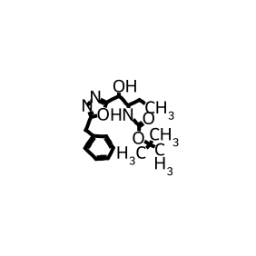 CCC(NC(=O)OC(C)(C)C)C(O)c1nnc(Cc2ccccc2)o1